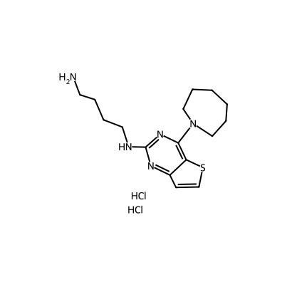 Cl.Cl.NCCCCNc1nc(N2CCCCCC2)c2sccc2n1